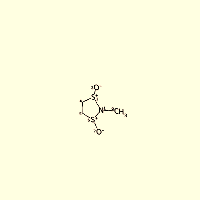 CN1[S+]([O-])CC[S+]1[O-]